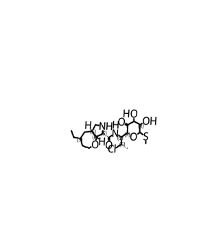 CC[C@@H]1CCO[C@@H]2[C@H](CN[C@@H]2C(=O)N[C@H]([C@H](C)Cl)[C@H]2OC(SC)[C@H](O)C(O)C2=O)C1